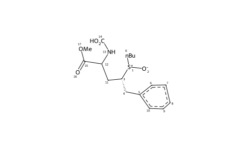 CCCC[S+]([O-])[C@H](Cc1ccccc1)CC(NC(=O)O)C(=O)OC